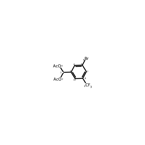 CC(=O)OI(OC(C)=O)c1cc(Br)cc(C(F)(F)F)c1